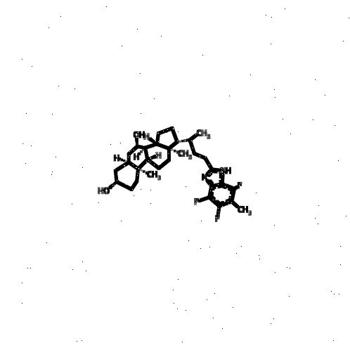 Cc1c(F)c(F)c2nc(CCC(C)[C@H]3CC[C@H]4[C@@H]5[C@H](O)C[C@@H]6C[C@H](O)CC[C@]6(C)[C@H]5CC[C@]34C)[nH]c2c1F